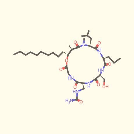 CCCCCCCCCC[C@H]1OC(=O)CNC(=O)[C@H](CNC(N)=O)NC(=O)[C@H](CO)NC(=O)[C@H](CCC)NC(=O)[C@H](CC(C)C)N(C)C(=O)[C@@H]1C